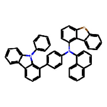 c1ccc(-n2c3ccccc3c3cccc(-c4ccc(N(c5cccc6ccccc56)c5cccc6sc7ccccc7c56)cc4)c32)cc1